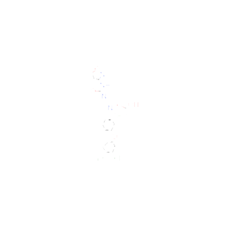 O=C(Nc1ccon1)N1CCN(Cc2cccc(Oc3ccc(Cl)c(Cl)c3)c2)CC1.O=C(O)C(F)(F)F